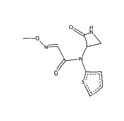 CON=CC(=O)N(c1cccs1)C1CNC1=O